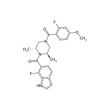 COc1ccc(C(=O)N2C[C@@H](C)N(C(=O)c3ccc4cc[nH]c4c3F)[C@H](C)C2)c(F)c1